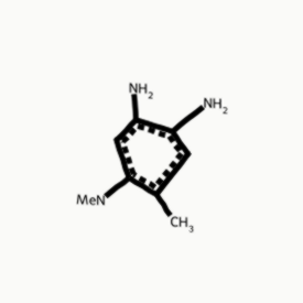 CNc1cc(N)c(N)cc1C